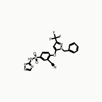 N#Cc1cc(S(=O)(=O)Nc2ncns2)ccc1Oc1cc(C(F)(F)F)nn1Cc1ccccc1